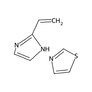 C=Cc1ncc[nH]1.c1cscn1